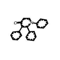 O=c1ccn(-c2ccccc2)c(-c2ccccc2)c1-c1ccccc1